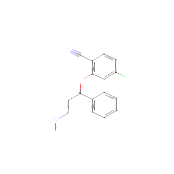 CNCCC(Oc1cc(Cl)ccc1C#N)c1ccccc1